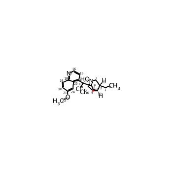 CC[C@H]1CN2CC[C@H]1C[C@@]2(Cl)[C@@](O)(Cl)c1ccnc2ccc(OC)cc12